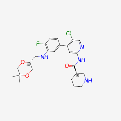 CC1(C)CO[C@H](CNc2cc(-c3cc(NC(=O)[C@@H]4CCCNC4)ncc3Cl)ccc2F)CO1